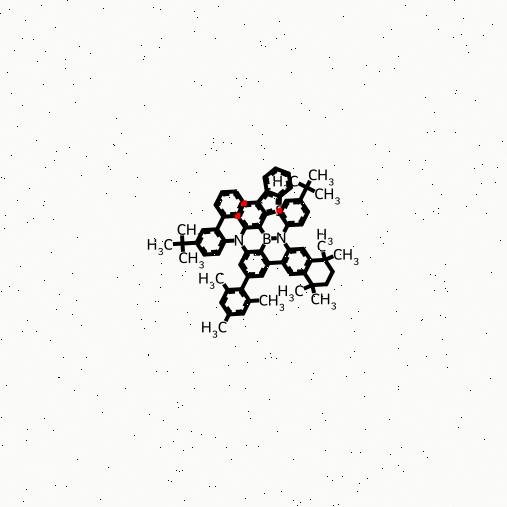 Cc1cc(C)c(-c2cc3c4c(c2)N(c2ccc(C(C)(C)C)cc2-c2ccccc2)c2ccc5c(sc6ccccc65)c2B4N(c2ccc(C(C)(C)C)cc2)c2cc4c(cc2-3)C(C)(C)CCC4(C)C)c(C)c1